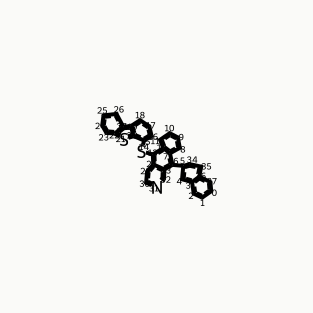 c1ccc2cc(-c3c4ccccc4c(Sc4cccc5c4sc4ccccc45)c4ccncc34)ccc2c1